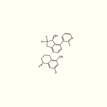 Cc1ncccc1-c1ccc([C@H]2CC[C@H](F)c3cc(F)cc(C#N)c32)c2c1[C@H](O)C(F)(F)C2